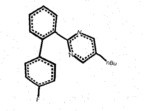 CCCCc1cnc(-c2ccccc2-c2ccc(F)cc2)nc1